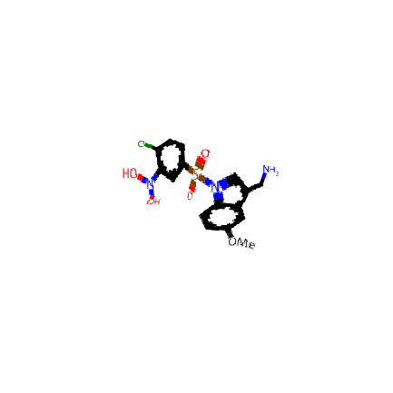 COc1ccc2c(c1)c(CN)cn2S(=O)(=O)c1ccc(Cl)c(N(O)O)c1